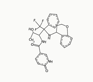 CC(O)C(NC(=O)c1ccc(=O)[nH]c1)C(NC1CCOc2ccccc21)(c1ccccc1)C(F)(F)F